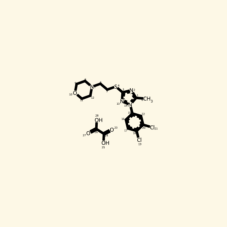 Cc1nc(SCCN2CCOCC2)nn1-c1ccc(Cl)c(Cl)c1.O=C(O)C(=O)O